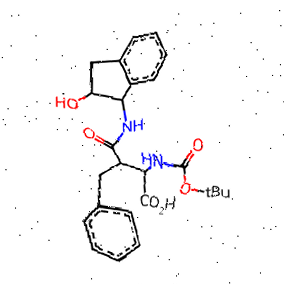 CC(C)(C)OC(=O)NC(C(=O)O)C(Cc1ccccc1)C(=O)NC1c2ccccc2CC1O